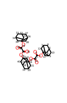 O=C(OC12CC3CC(CC(C3)C1)C2)C(=O)OC12CC3CC(C1)CC(OC(=O)C(=O)OC14CC5CC(CC(C5)C1)C4)(C3)C2